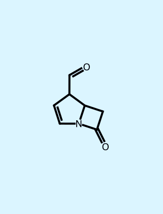 O=CC1C=CN2C(=O)CC12